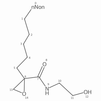 CCCCCCCCCCCCCCC1(C(=O)NCCO)CO1